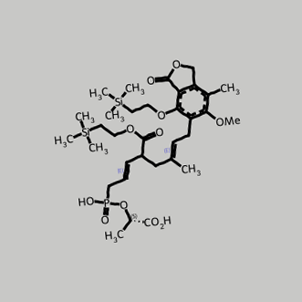 COc1c(C)c2c(c(OCC[Si](C)(C)C)c1C/C=C(\C)CC(/C=C/CP(=O)(O)O[C@@H](C)C(=O)O)C(=O)OCC[Si](C)(C)C)C(=O)OC2